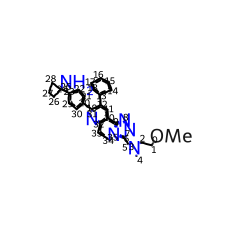 COCCN(C)Cc1nnc2c3cc(-c4ccccc4)c(-c4ccc(C5(N)CCC5)cc4)nc3ccn12